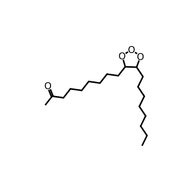 CCCCCCCCC1OOOC1CCCCCCCC(C)=O